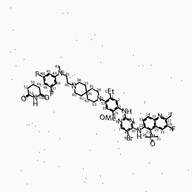 CCc1cc(Nc2ncc(Br)c(Nc3ccc4nc(C)c(F)cc4c3P(C)(C)=O)n2)c(OC)cc1N1CCC2(CCN(CCN(C)c3cc(F)c([C@H]4CCC(=O)NC4=O)c(F)c3)CC2)CC1